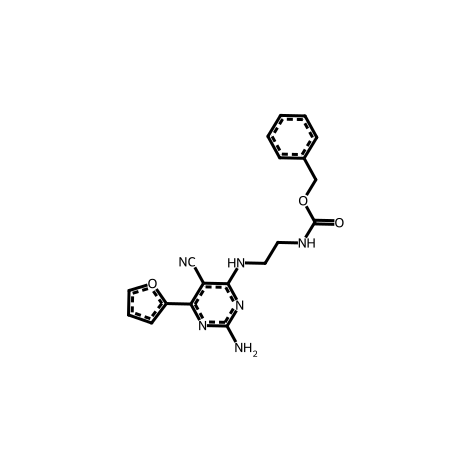 N#Cc1c(NCCNC(=O)OCc2ccccc2)nc(N)nc1-c1ccco1